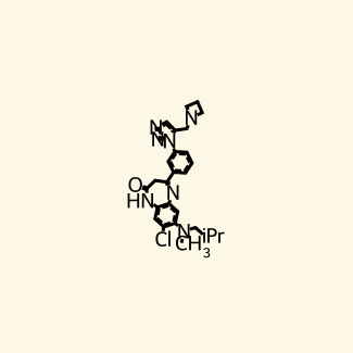 CC(C)CN(C)c1cc2c(cc1Cl)NC(=O)CC(c1cccc(-n3nncc3CN3CCC3)c1)=N2